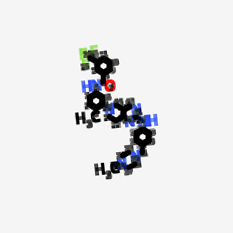 Cc1ccc(NC(=O)c2cccc(C(F)(F)F)c2)cc1N1CCc2nc(Nc3ccc(CN4CCN(C)CC4)cc3)ncc2C1